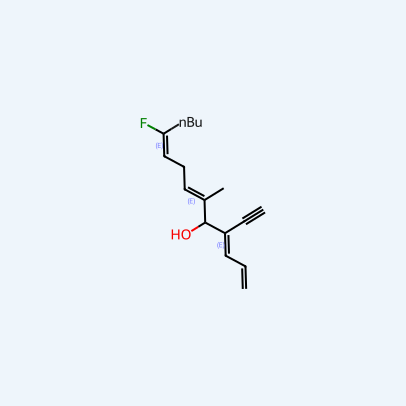 C#C/C(=C\C=C)C(O)/C(C)=C/C/C=C(/F)CCCC